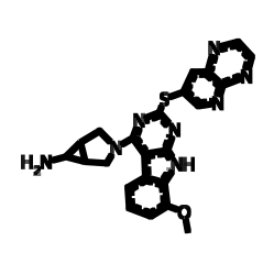 COc1cccc2c1[nH]c1nc(Sc3cnc4nccnc4c3)nc(N3CC4C(N)C4C3)c12